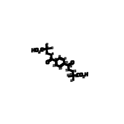 CC(C)(CCC(=O)c1ccc(C(=O)CCC(C)(C)C(=O)O)cc1)C(=O)O